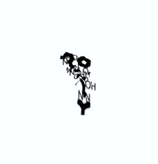 COc1cccc(O)c1-n1c(NS(=O)(=O)[C@@H](C)[C@H](O)c2ncc(C)cn2)nnc1C1=C=C=CC(C)=N1